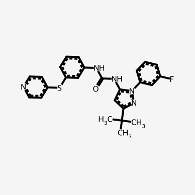 CC(C)(C)c1cc(NC(=O)Nc2cccc(Sc3ccncc3)c2)n(-c2cccc(F)c2)n1